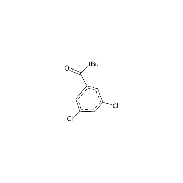 CC(C)(C)C(=O)c1cc(Cl)cc(Cl)c1